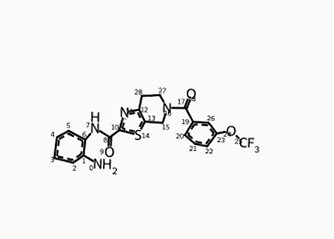 Nc1ccccc1NC(=O)c1nc2c(s1)CN(C(=O)c1cccc(OC(F)(F)F)c1)CC2